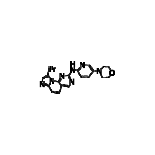 CC(C)c1cnc2ccc3cnc(Nc4ccc(N5CCOCC5)cn4)nc3n12